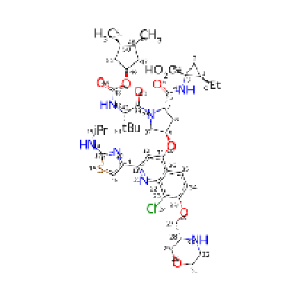 CC[C@@H]1C[C@]1(NC(=O)[C@@H]1C[C@@H](Oc2cc(-c3csc(NC(C)C)n3)nc3c(Cl)c(OC[C@H]4COCCN4)ccc23)CN1C(=O)[C@@H](NC(=O)O[C@@H]1CC(C)[C@H](C)C1)C(C)(C)C)C(=O)O